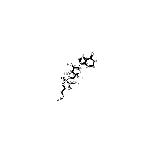 CC(=O)SCCOP(=O)(OC[C@@]1(C)O[C@H](n2cnc3c2N=CCC3=O)C(O)[C@H]1O)N(C)C